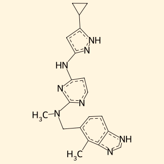 Cc1c(CN(C)c2nccc(Nc3cc(C4CC4)[nH]n3)n2)ccc2[nH]cnc12